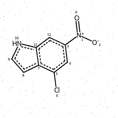 O=[N+]([O-])c1cc(Cl)c2cc[nH]c2c1